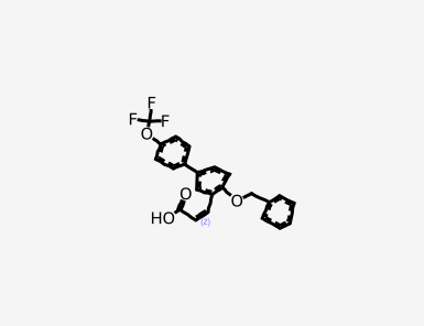 O=C(O)/C=C\c1cc(-c2ccc(OC(F)(F)F)cc2)ccc1OCc1ccccc1